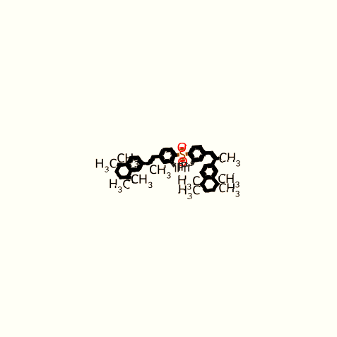 CC(=Cc1ccc(S(=O)(=O)c2ccc(C=C(C)c3ccc4c(c3)C(C)(C)CCC4(C)C)cc2C(C)C)c(C(C)C)c1)c1ccc2c(c1)C(C)(C)CCC2(C)C